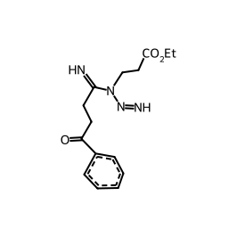 CCOC(=O)CCN(N=N)C(=N)CCC(=O)c1ccccc1